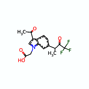 CC(=O)c1cn(CC(=O)O)c2cc(C(C)C(=O)C(F)(F)F)ccc12